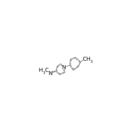 CN=c1ccn(-c2ccc(C)cc2)cc1